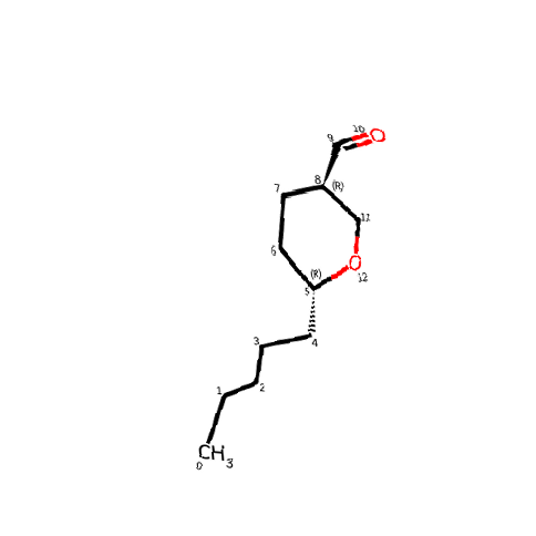 CCCCC[C@@H]1CC[C@@H](C=O)CO1